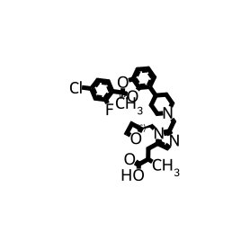 CC(Cc1cnc(CN2CCC(c3cccc4c3O[C@@](C)(c3ccc(Cl)cc3F)O4)CC2)n1C[C@@H]1CCO1)C(=O)O